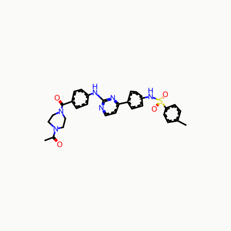 CC(=O)N1CCN(C(=O)c2ccc(Nc3nccc(-c4ccc(NS(=O)(=O)c5ccc(C)cc5)cc4)n3)cc2)CC1